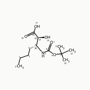 CCCC[C@@H](NC(=O)OC(C)(C)C)[C@H](O)C(=O)O